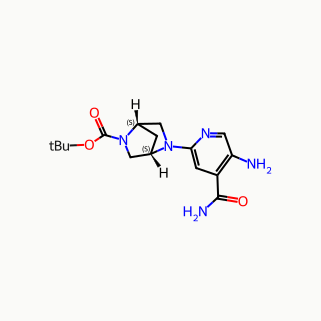 CC(C)(C)OC(=O)N1C[C@@H]2C[C@H]1CN2c1cc(C(N)=O)c(N)cn1